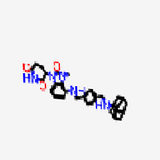 Cn1c(=O)n(C2CCC(=O)NC2=O)c2cccc(NCc3ccc(CNC45CC6CC(CC(C6)C4)C5)cc3)c21